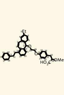 CCc1ccc2c(c1)C=Cc1c(CCc3ccccc3)cccc1C2OCCOc1ccc(CC(OC)C(=O)O)cc1